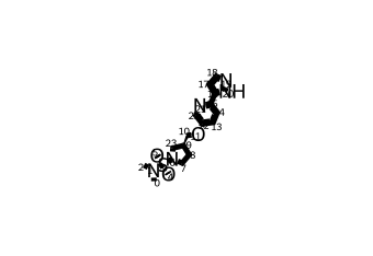 CN(C)S(=O)(=O)N1CC[C@H](COc2ccc(-c3ccn[nH]3)nc2)C1